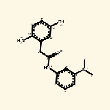 CN(C)c1cccc(NC(=O)Cc2cc(O)ccc2N)c1